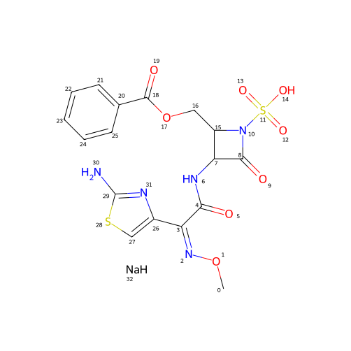 CO/N=C(\C(=O)NC1C(=O)N(S(=O)(=O)O)C1COC(=O)c1ccccc1)c1csc(N)n1.[NaH]